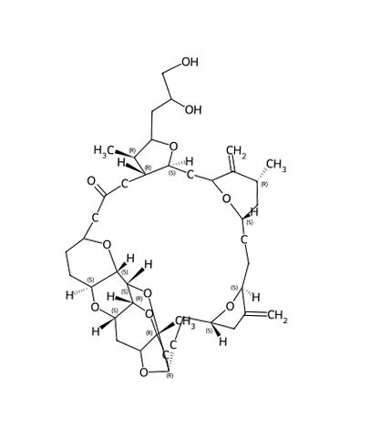 C=C1C2C[C@@H]3OC(CC(O)CO)[C@H](C)[C@H]3CC(=O)CC3CC[C@@H]4O[C@H]5CC6O[C@]7(CC[C@H]8CC(=C)[C@H](CC[C@@H](C[C@H]1C)O2)O8)C[C@@]6(C)O[C@H]5[C@@H](O7)[C@H]4O3